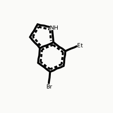 [CH2]Cc1cc(Br)cc2cc[nH]c12